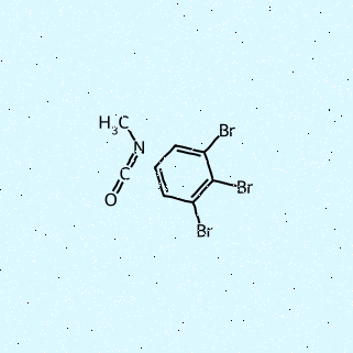 Brc1cccc(Br)c1Br.CN=C=O